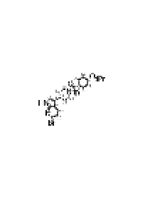 CC(C)Oc1ccc(S(=O)(=O)N2CCC(c3c[nH]c4nc(Br)ccc34)CC2)cc1